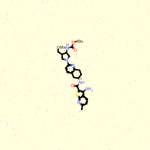 COCC1CN(c2ccc3c(n2)CC[C@H](NC(=O)c2sc4nc(C)ccc4c2N)C3)CC1NC(=O)OC(C)(C)C